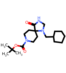 CC(C)(C)OC(=O)N1CCC2(CC1)C(=O)NCN2CC1CCCCC1